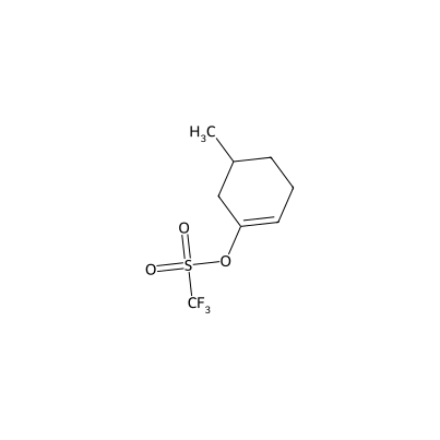 CC1CCC=C(OS(=O)(=O)C(F)(F)F)C1